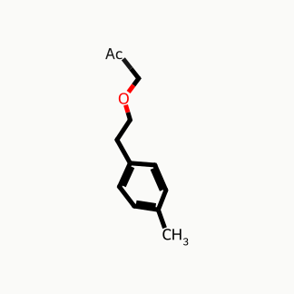 CC(=O)COCCc1ccc(C)cc1